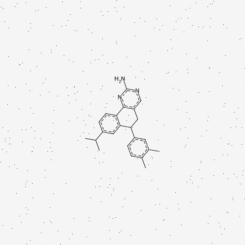 Cc1ccc(C2Cc3cnc(N)nc3-c3ccc(C(C)C)cc32)cc1C